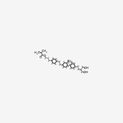 C=C(C)C(=O)OCCCc1ccc(CCc2ccc(-c3ccc(CCC(CO)CO)cc3CC)c(F)c2)cc1